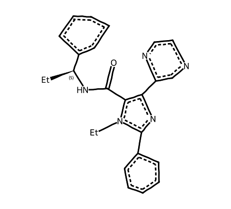 CC[C@H](NC(=O)c1c(-c2cnccn2)nc(-c2ccccc2)n1CC)c1ccccc1